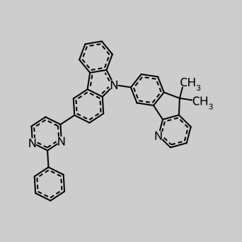 CC1(C)c2ccc(-n3c4ccccc4c4cc(-c5ccnc(-c6ccccc6)n5)ccc43)cc2-c2ncccc21